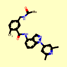 Cc1cc(-n2ncc3c(NC(=O)c4cc(CNC(=O)C(C)(C)C)ccc4C(F)(F)F)cccc32)cc(C)n1